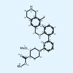 CO[C@@H]1CN(c2cccc(-c3cccc(C)c3OCc3cc(C)c4c(c3)CCNC4)n2)CC[C@H]1C(=O)OC(C)(C)C